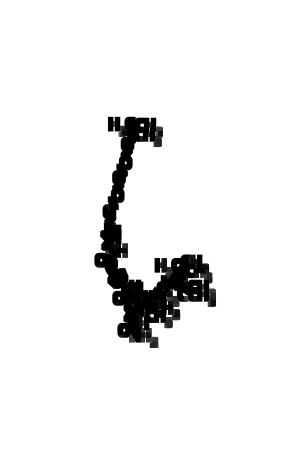 CC(C)[C@H](NC(=O)CON=C(CSC(C)(C)C)CSC(C)(C)C)C(=O)N[C@@H](CCCNC(N)=O)C(=O)Nc1ccc(COC(=O)NCc2cn(CCOCCOCCOCCOCCOCCC(C)(C)C)nn2)cc1